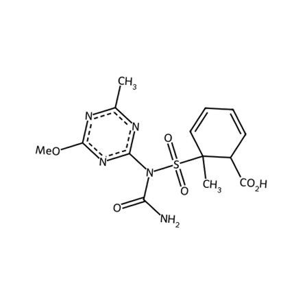 COc1nc(C)nc(N(C(N)=O)S(=O)(=O)C2(C)C=CC=CC2C(=O)O)n1